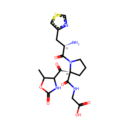 CC1OC(=O)NC1C(=O)[C@@]1(C(=O)NCC(=O)O)CCCN1C(=O)[C@@H](N)Cc1cscn1